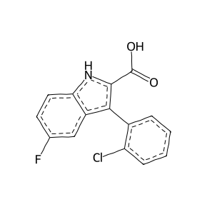 O=C(O)c1[nH]c2ccc(F)cc2c1-c1ccccc1Cl